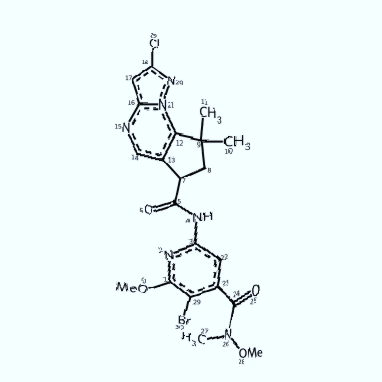 COc1nc(NC(=O)C2CC(C)(C)c3c2cnc2cc(Cl)nn32)cc(C(=O)N(C)OC)c1Br